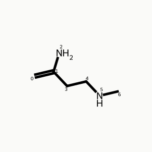 C=C(N)CCNC